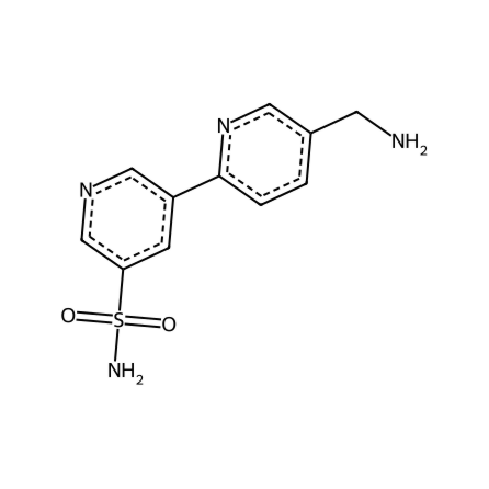 NCc1ccc(-c2cncc(S(N)(=O)=O)c2)nc1